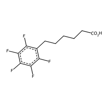 O=C(O)CCCCCc1c(F)c(F)c(F)c(F)c1F